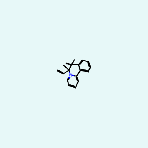 C=CC1(C)[n+]2ccccc2-c2ccccc2C1(C)C